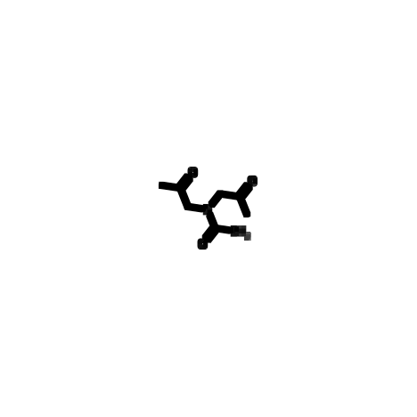 BC(=O)N(CC(C)=O)CC(C)=O